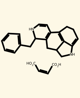 C1=CC2=C(CC3CNC4=CCCC2=C43)C(Cc2ccccc2)N1.O=C(O)/C=C\C(=O)O